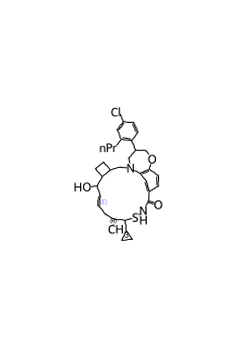 CCCc1cc(Cl)ccc1C1COc2ccc3cc2N(C1)CC1CCC1C(O)/C=C/C[C@@H](C)C(C1CC1)SNC3=O